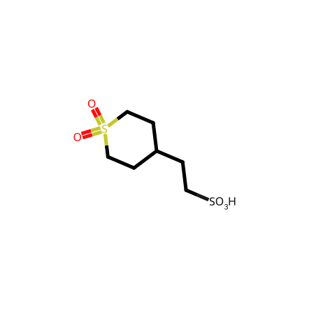 O=S(=O)(O)CCC1CCS(=O)(=O)CC1